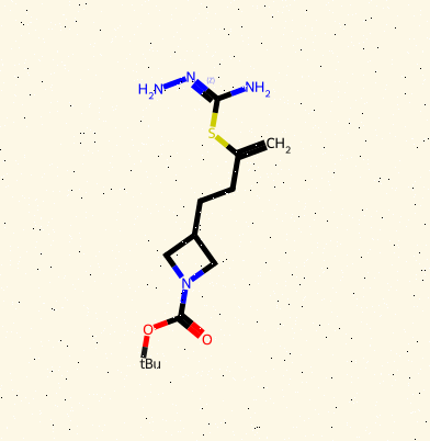 C=C(CCC1CN(C(=O)OC(C)(C)C)C1)S/C(N)=N\N